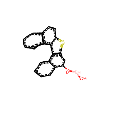 OBOc1cc2sc3ccc4ccccc4c3c2c2ccccc12